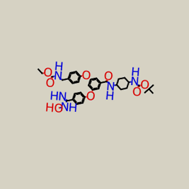 CCOC(=O)NCc1ccc(Oc2cc(Oc3ccc(C(=N)NO)cc3)cc(C(=O)NC3CCC(NC(=O)OC(C)(C)C)CC3)c2)cc1